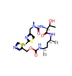 CC[C@@H](CC[C@H](CC)NC(=O)[C@@H](NC(=O)N(C)Cc1csc(C(C)C)n1)C(C)O)NC(=O)OCc1cncs1